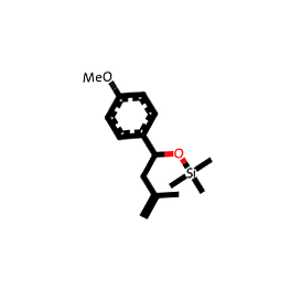 C=C(C)CC(O[Si](C)(C)C)c1ccc(OC)cc1